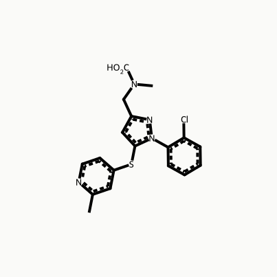 Cc1cc(Sc2cc(CN(C)C(=O)O)nn2-c2ccccc2Cl)ccn1